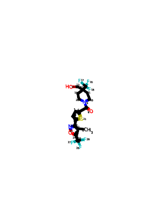 Cc1c(-c2ccc(C(=O)N3CCC(CO)(C(F)(F)F)CC3)s2)noc1C(F)(F)F